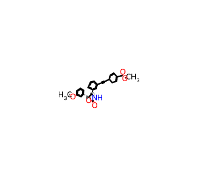 COC(=O)C1=CCC(C#Cc2cccc([C@H]3NC(=O)O[C@@H]3c3cccc(OC)c3)c2)C=C1